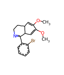 COC1=CC2CCN=C(c3ccccc3Br)C2C=C1OC